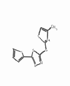 Cc1csc(Sc2nnc(-c3cccs3)s2)n1